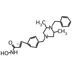 CC1CN(Cc2ccc(/C=C/C(=O)NO)cc2)CC(C)N1Cc1ccccc1